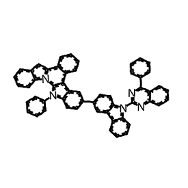 c1ccc(-c2nc(-n3c4ccccc4c4cc(-c5ccc6c(c5)c5c7ccccc7c7cc8ccccc8n7c5n6-c5ccccc5)ccc43)nc3ccccc23)cc1